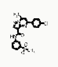 CS(=O)(=O)c1cccc(NC(=O)c2cnn3c(C(F)(F)F)cc(-c4ccc(Cl)cc4)nc23)c1